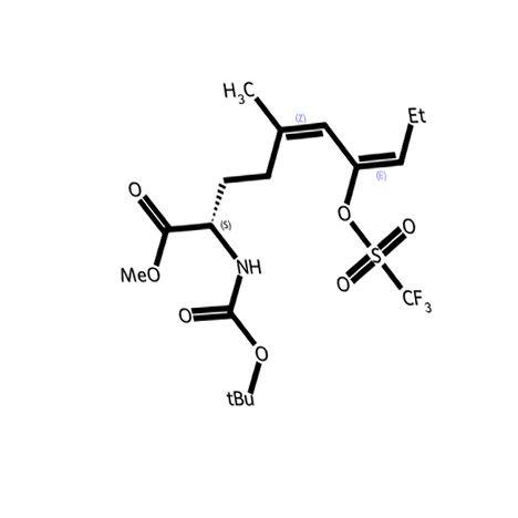 CC/C=C(\C=C(\C)CC[C@H](NC(=O)OC(C)(C)C)C(=O)OC)OS(=O)(=O)C(F)(F)F